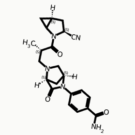 C[C@@H](CN1C[C@@H]2C[C@H]1C(=O)N2c1ccc(C(N)=O)cc1)C(=O)N1C2C[C@H]2C[C@H]1C#N